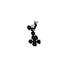 N=C/C=C\C=C\C1=NC(c2ccc(-c3ccc4c5c(cccc35)-c3c-4c(-c4ccccc4)c4ccccc4c3-c3ccccc3)cc2)=CC(c2ccccc2)N1